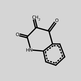 C=C1C(=O)Nc2ccccc2C1=O